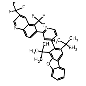 BC(C)(C)c1cc2c(oc3ccccc32)c(C(B)(C)C)c1-c1ccnc(-c2ccc3ncc(C(F)(F)F)cc3c2C(F)(F)F)c1